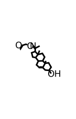 C/C(=N/OCC1CO1)C1CCC2C3CC=C4CC(O)CCC4(C)C3CCC12C